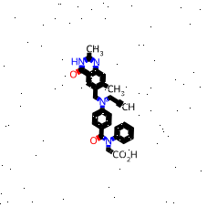 C#CCN(Cc1cc2c(=O)[nH]c(C)nc2cc1C)c1ccc(C(=O)N(CC(=O)O)c2ccccc2)cc1